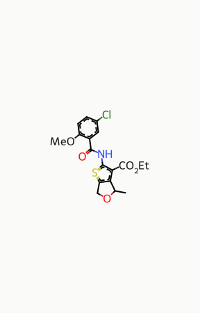 CCOC(=O)c1c(NC(=O)c2cc(Cl)ccc2OC)sc2c1C(C)OC2